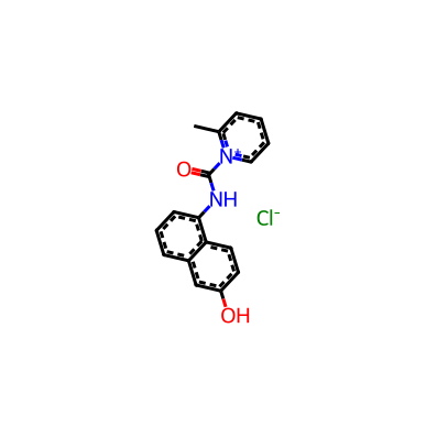 Cc1cccc[n+]1C(=O)Nc1cccc2cc(O)ccc12.[Cl-]